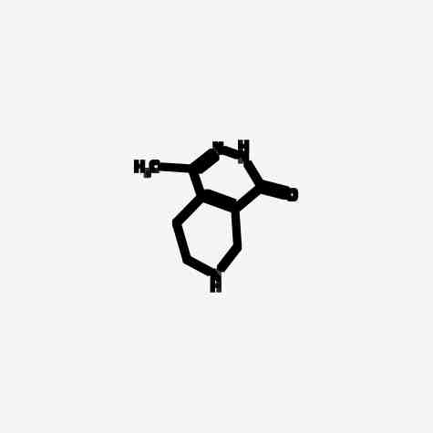 Cc1n[nH]c(=O)c2c1CCNC2